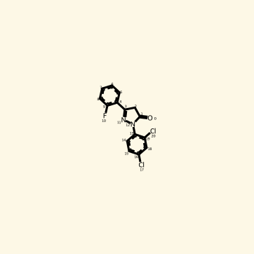 O=C1CC(c2ccccc2F)=NN1c1ccc(Cl)cc1Cl